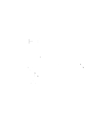 CCOc1cc(C#N)ccc1[N+](=O)[O-]